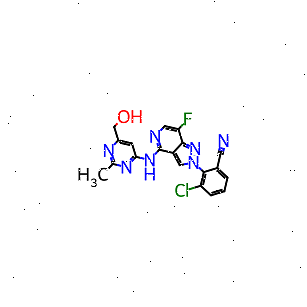 Cc1nc(CO)cc(Nc2ncc(F)c3nn(-c4c(Cl)cccc4C#N)cc23)n1